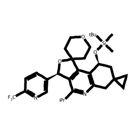 CC(C)c1nc2c(c3c1[C@@H](c1ccc(C(F)(F)F)nc1)OC31CCOCC1)[C@@H](O[Si](C)(C)C(C)(C)C)CC1(CC1)C2